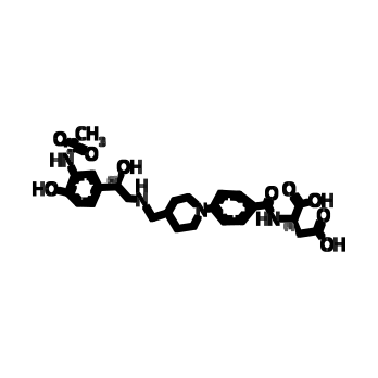 CS(=O)(=O)Nc1cc([C@@H](O)CNCC2CCN(c3ccc(C(=O)N[C@H](CC(=O)O)C(=O)O)cc3)CC2)ccc1O